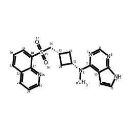 CN(c1ncnc2[nH]ccc12)[C@H]1C[C@@H](CS(=O)(=O)c2cccc3cccnc23)C1